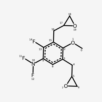 COc1c(CC2CO2)cc(N(F)F)c(F)c1CC1CO1